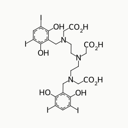 O=C(O)CN(CCN(CC(=O)O)Cc1c(O)c(I)cc(I)c1O)CCN(CC(=O)O)Cc1c(O)c(I)cc(I)c1O